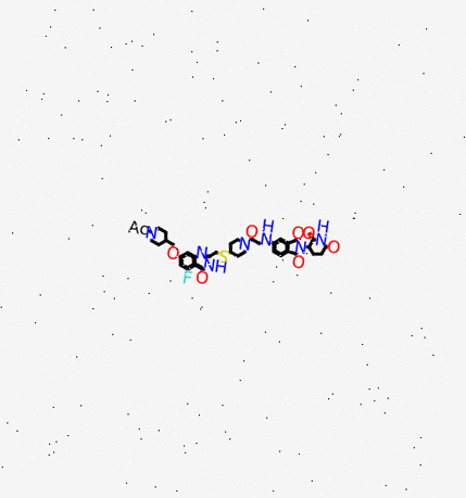 CC(=O)N1CCC(COc2cc(F)c3c(=O)[nH]c(CSC4CCN(C(=O)CNc5ccc6c(c5)C(=O)N(C5CCC(=O)NC5=O)C6=O)CC4)nc3c2)CC1